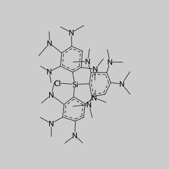 CN(C)c1cc(N(C)C)c([Si](Cl)(c2c(N(C)C)cc(N(C)C)c(N(C)C)c2N(C)C)c2c(N(C)C)cc(N(C)C)c(N(C)C)c2N(C)C)c(N(C)C)c1N(C)C